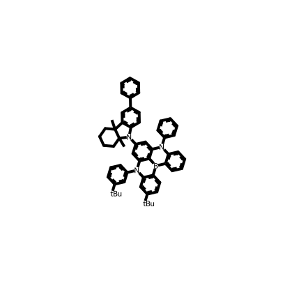 CC(C)(C)c1cccc(N2c3cc(C(C)(C)C)ccc3B3c4ccccc4N(c4ccccc4)c4cc(N5c6ccc(-c7ccccc7)cc6C6(C)CCCCC56C)cc2c43)c1